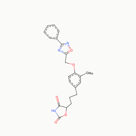 COc1cc(CCCC2OC(=O)NC2=O)ccc1OCc1nc(-c2ccccc2)no1